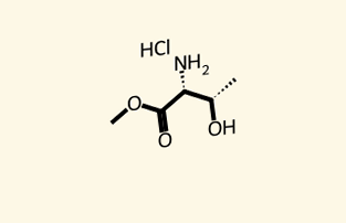 COC(=O)[C@H](N)[C@H](C)O.Cl